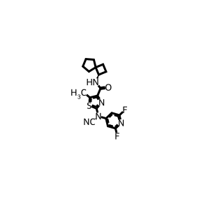 Cc1sc(N(C#N)c2cc(F)nc(F)c2)nc1C(=O)N[C@@H]1CCC12CCCC2